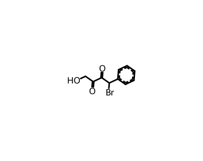 O=C(CO)C(=O)C(Br)c1ccccc1